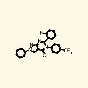 O=c1c2cn(-c3ccccc3)nc2nc(-c2ccccc2F)n1-c1ccc(C(F)(F)F)cc1